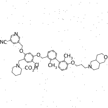 Cc1c(COc2cc(OCc3cncc(C#N)c3)c(CN3CCCC[C@H]3C(=O)O)cc2Cl)cccc1-c1cccc(OCCCN2CCC3COCCC3C2)c1C